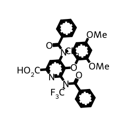 COc1ccc(Oc2c(N(C(=O)c3ccccc3)C(F)(F)F)cc(C(=O)O)nc2N(C(=O)c2ccccc2)C(F)(F)F)c(OC)c1